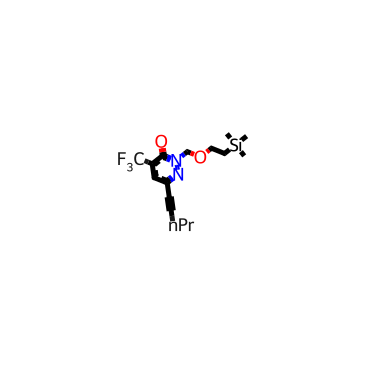 CCCC#Cc1cc(C(F)(F)F)c(=O)n(COCC[Si](C)(C)C)n1